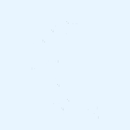 Cc1cc(C(=O)N2CCN(OC(=O)N(C)C)CC2)cc(C)c1/C=C/S(=O)(=O)N1CCC2(CC1)N=C(c1cccc(OC(F)(F)F)c1)NC2=O